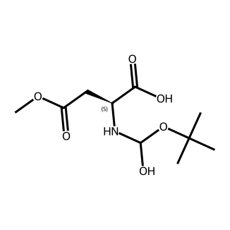 COC(=O)C[C@H](NC(O)OC(C)(C)C)C(=O)O